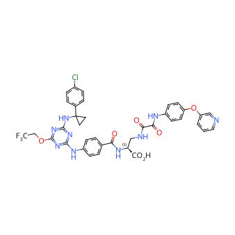 O=C(NC[C@H](NC(=O)c1ccc(Nc2nc(NC3(c4ccc(Cl)cc4)CC3)nc(OCC(F)(F)F)n2)cc1)C(=O)O)C(=O)Nc1ccc(Oc2cccnc2)cc1